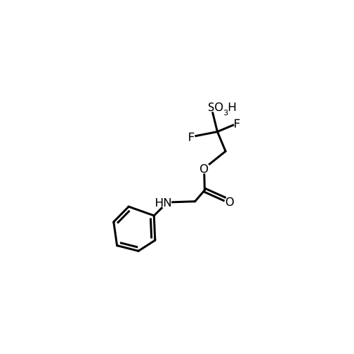 O=C(CNc1ccccc1)OCC(F)(F)S(=O)(=O)O